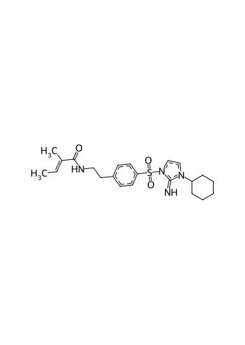 CC=C(C)C(=O)NCCc1ccc(S(=O)(=O)n2ccn(C3CCCCC3)c2=N)cc1